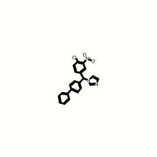 O=[N+]([O-])c1cc(C(c2ccc(-c3ccccc3)cc2)n2ccnc2)ccc1Cl